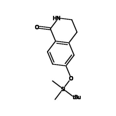 CC(C)(C)[Si](C)(C)Oc1ccc2c(c1)CCNC2=O